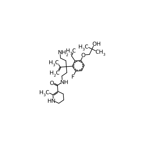 C=C(C)C(CCN)(CCNC(=O)C1=C(C)NCCC1)c1c(F)ccc(OCC(C)(C)O)c1CC